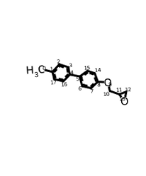 Cc1ccc(-c2ccc(OCC3CO3)cc2)cc1